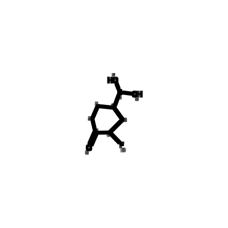 O=C1CCC(B(O)O)CC1F